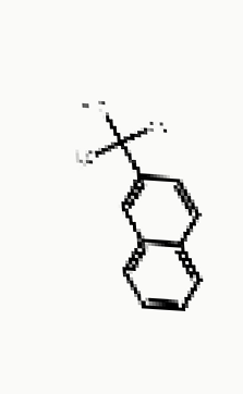 CC(C)(C#N)c1[c]c2ccccc2cc1